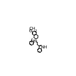 COc1ccc2c(c1)[C@@H](Cc1ccccc1)[C@H](NCCc1c[nH]c3ccccc13)CC2